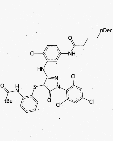 CCCCCCCCCCCCCC(=O)Nc1ccc(Cl)c(NC2=NN(c3c(Cl)cc(Cl)cc3Cl)C(=O)C2Sc2ccccc2NC(=O)C(C)(C)C)c1